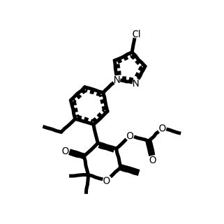 C=C1OC(C)(C)C(=O)C(c2cc(-n3cc(Cl)cn3)ccc2CC)=C1OC(=O)OC